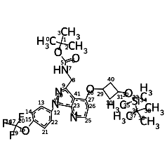 CC(C)(C)OC(=O)NCc1nn(-c2ccc(OC(F)(F)F)cc2)c2nccc(OC3CC(O[Si](C)(C)C(C)(C)C)C3)c12